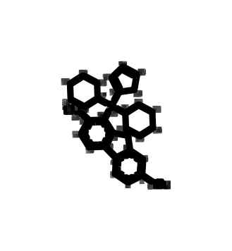 CC(C)(C)c1ccc2c(c1)Cc1c-2ccc(C(C)(C)C)c1[Si](C1=CC=CC1)(C1CCCCC1)C1CCCCC1